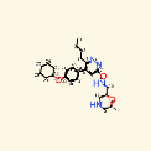 CCCCc1nnc(ONCC2CNCCO2)cc1-c1ccc(OC2CCCCC2)cc1